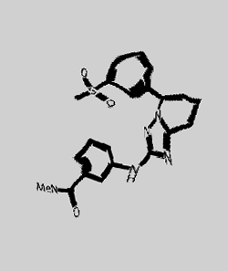 CNC(=O)c1cccc(Nc2nc3cccc(-c4cccc(S(C)(=O)=O)c4)n3n2)c1